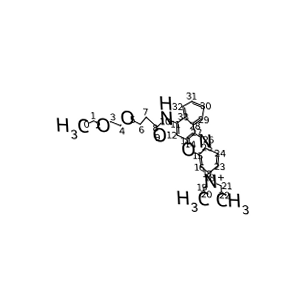 CCOCCOCCC(=O)Nc1cc2oc3cc(=[N+](CC)CC)ccc-3nc2c2ccccc12